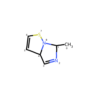 CC1N=CC2C=CSN21